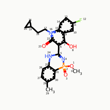 COP1(=O)N=C(c2c(O)c3cc(F)ccc3n(CCC3CC3)c2=O)Nc2ccc(C)cc21